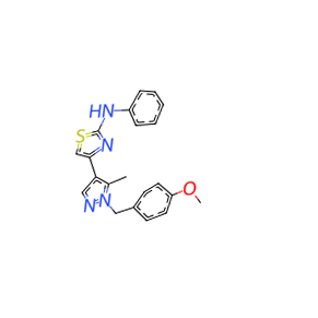 COc1ccc(Cn2ncc(-c3csc(Nc4ccccc4)n3)c2C)cc1